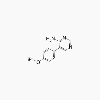 CC(C)Oc1ccc(-c2cncnc2N)cc1